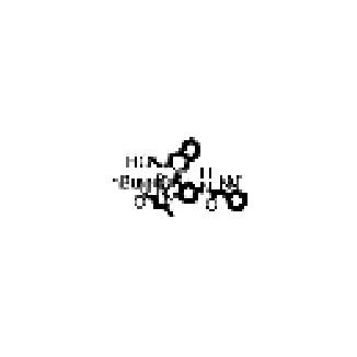 CCCCN(CCCC)C(=O)c1cc(C)n(-c2ccc(NC(=O)c3nn(C)c4ccccc34)cc2C(=O)N2Cc3ccccc3C[C@H]2CCO)n1